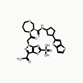 NC(=O)c1nn(CC(=O)N2CCCOC[C@H]2C(=S)NC2CCC(c3cc4sccc4s3)C2)c2nc(P(=O)(O)O)sc12